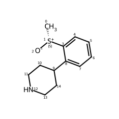 C[S@@+]([O-])c1ccccc1C1CCNCC1